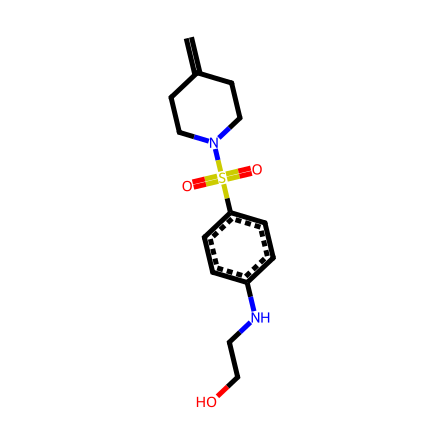 C=C1CCN(S(=O)(=O)c2ccc(NCCO)cc2)CC1